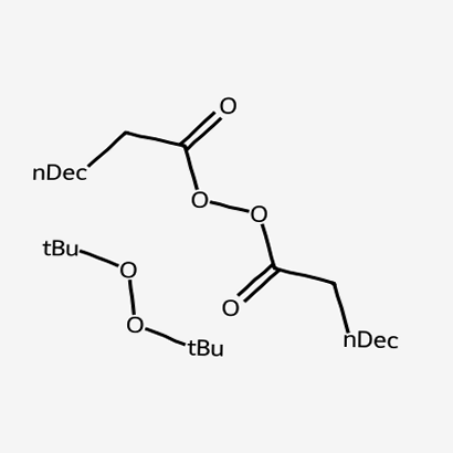 CC(C)(C)OOC(C)(C)C.CCCCCCCCCCCC(=O)OOC(=O)CCCCCCCCCCC